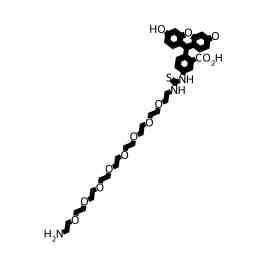 NCCOCCOCCOCCOCCOCCOCCOCCOCCNC(=S)Nc1ccc(-c2c3ccc(=O)cc-3oc3cc(O)ccc23)c(C(=O)O)c1